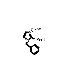 CCCCCCCCC[n+]1ccn(Cc2ccccc2)c1CCCCC